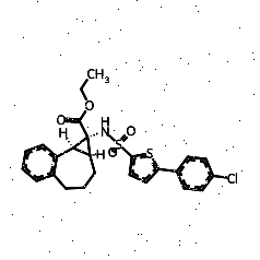 CCOC(=O)[C@]1(NS(=O)(=O)c2ccc(-c3ccc(Cl)cc3)s2)[C@@H]2c3ccccc3CCC[C@@H]21